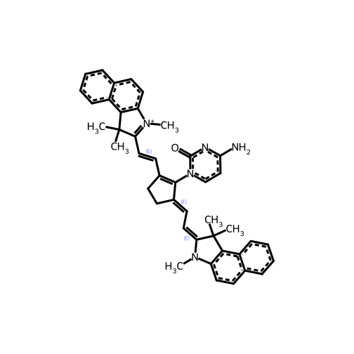 CN1/C(=C/C=C2\CCC(/C=C/C3=[N+](C)c4ccc5ccccc5c4C3(C)C)=C2n2ccc(N)nc2=O)C(C)(C)c2c1ccc1ccccc21